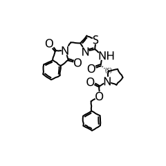 O=C(Nc1nc(CN2C(=O)c3ccccc3C2=O)cs1)[C@@H]1CCCN1C(=O)OCc1ccccc1